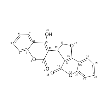 O=c1oc2ccccc2c(O)c1C1COc2c1c(=O)oc1ccccc21